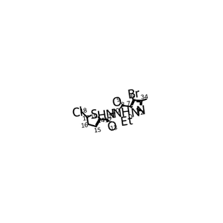 CCn1nc(C)c(Br)c1C(=O)NNC(=O)C1=CCC(Cl)S1